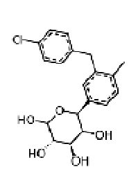 Cc1ccc([C@@H]2OC(O)[C@@H](O)[C@H](O)[C@@H]2O)cc1Cc1ccc(Cl)cc1